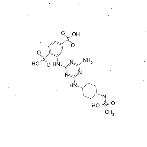 CS(=O)(O)=NC1CCC(Nc2nc(N)nc(Nc3cc(S(=O)(=O)O)ccc3S(=O)(=O)O)n2)CC1